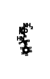 C[C@@]1(NCc2nnc(N)o2)C[C@H]1c1ccccc1